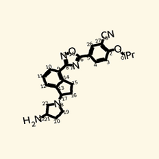 CC(C)Oc1ccc(-c2nc(-c3cccc4c3CCC4N3CCC(N)C3)no2)cc1C#N